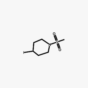 CS(=O)(=O)N1CCC(I)CC1